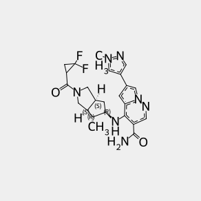 C[C@@H]1[C@H]2CN(C(=O)C3CC3(F)F)C[C@H]2C[C@H]1Nc1c(C(N)=O)cnn2cc(-c3cnn(C)c3)cc12